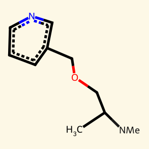 CNC(C)COCc1cccnc1